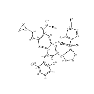 Cc1cc(F)ccc1S(=O)(=O)N1CCSC1C(=O)O[C@@H](Cc1c(Cl)cncc1Cl)c1ccc(OC(F)F)c(OCC2CC2)c1